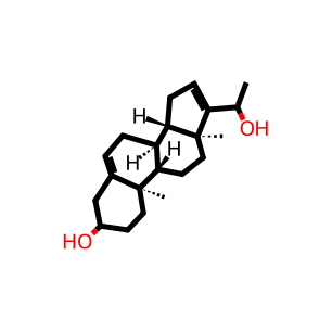 CC(O)C1=CC[C@H]2[C@@H]3CC=C4CC(O)CC[C@]4(C)[C@H]3CC[C@]12C